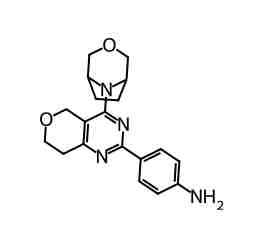 Nc1ccc(-c2nc3c(c(N4C5CCC4COC5)n2)COCC3)cc1